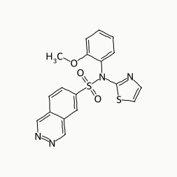 COc1ccccc1N(c1nccs1)S(=O)(=O)c1ccc2cnncc2c1